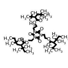 CCC(C)(C)CC(C(=O)OCCn1c(=O)n(CCOC(=O)C(CC(C)(C)C)C(C)(C)C)c(=O)n(CCOC(=O)C(CC(C)(C)C)C(C)(C)CC)c1=O)C(C)(C)CC